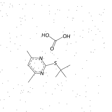 Cc1cc(C)nc(SC(C)(C)C)n1.O=C(O)O